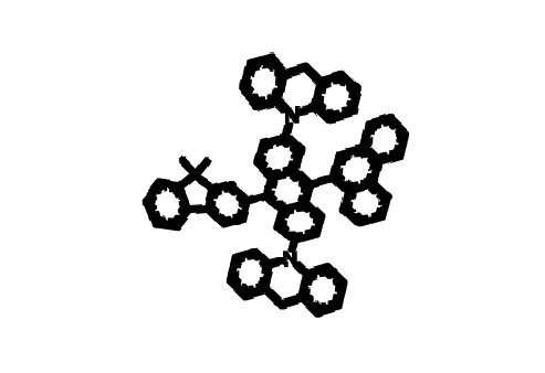 CC1(C)c2ccccc2-c2ccc(-c3c4cc(N5c6ccccc6Cc6ccccc65)ccc4c(-c4cc5ccccc5c5ccccc45)c4cc(N5c6ccccc6Cc6ccccc65)ccc34)cc21